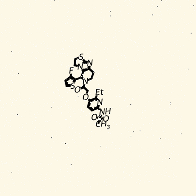 CCc1nc(NS(C)(=O)=O)ccc1OCC(=O)N1CCc2nc3n(c2C1c1sccc1F)CCS3